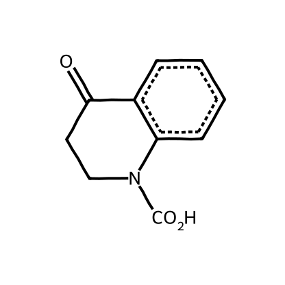 O=C1CCN(C(=O)O)c2ccccc21